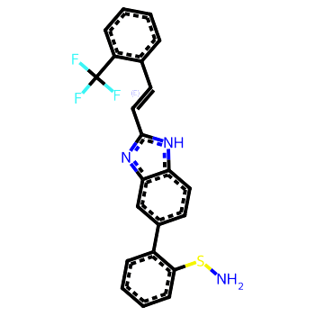 NSc1ccccc1-c1ccc2[nH]c(/C=C/c3ccccc3C(F)(F)F)nc2c1